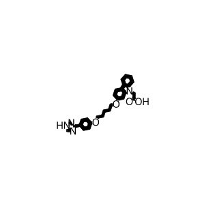 O=C(O)Cn1c2ccccc2c2ccc(OCCCCCOc3ccc(-c4nc[nH]n4)cc3)cc21